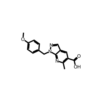 COc1ccc(Cn2ncc3cc(C(=O)O)c(C)nc32)cc1